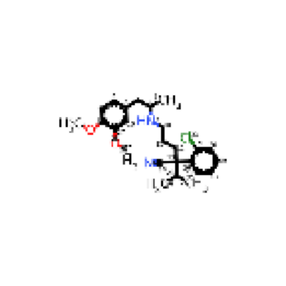 COc1ccc(CC(C)NCCCC(C#N)(c2ccccc2Cl)C(C)C)cc1OC